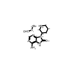 CC(C)(C)OC=O.Nc1ncnc2c1[nH]c(=O)n2C1CCCNC1